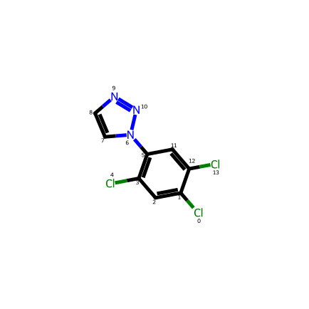 Clc1cc(Cl)c(-n2ccnn2)cc1Cl